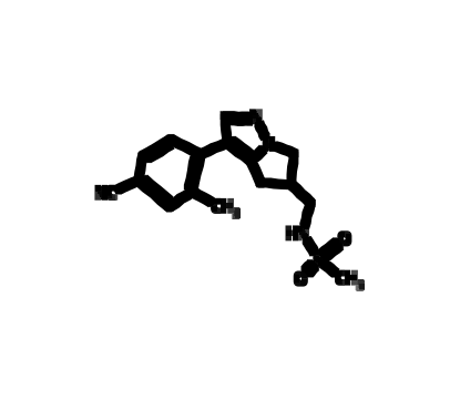 Cc1cc(C#N)ccc1-c1cnn2c1CC(CNS(C)(=O)=O)C2